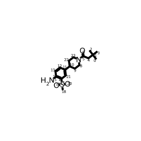 CC(C)(C)CC(=O)N1CCC(c2ccc(N)c(S(C)(=O)=O)c2)CC1